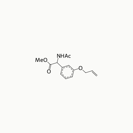 C=CCOc1cccc(C(NC(C)=O)C(=O)OC)c1